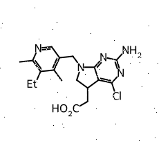 CCc1c(C)ncc(CN2CC(CC(=O)O)c3c(Cl)nc(N)nc32)c1C